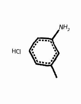 Cc1cccc(N)c1.Cl